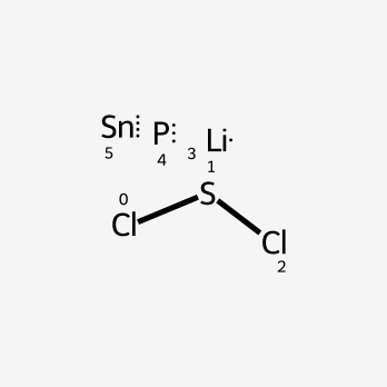 ClSCl.[Li].[P].[Sn]